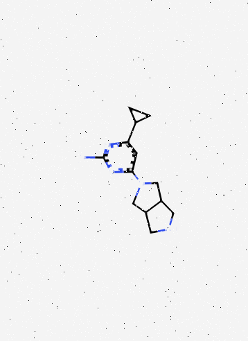 Nc1nc(C2CC2)cc(N2CC3CNCC3C2)n1